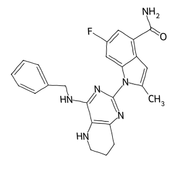 Cc1cc2c(C(N)=O)cc(F)cc2n1-c1nc2c(c(NCc3ccccc3)n1)NCCC2